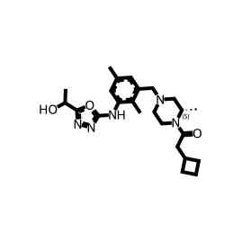 Cc1cc(CN2CCN(C(=O)CC3CCC3)[C@@H](C)C2)c(C)c(Nc2nnc(C(C)O)o2)c1